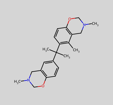 Cc1c(C(C)(C)c2ccc3c(c2)CN(C)CO3)ccc2c1CN(C)CO2